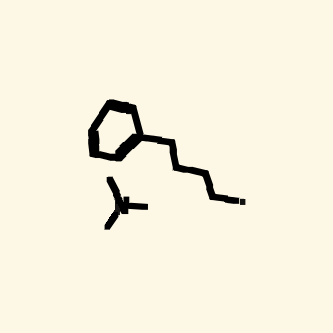 CN(C)C.[CH2]CCCCc1ccccc1